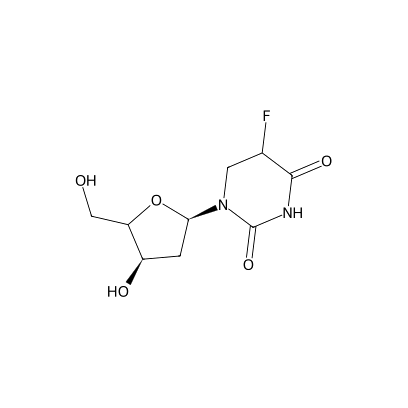 O=C1NC(=O)N([C@H]2C[C@@H](O)C(CO)O2)CC1F